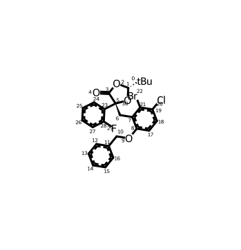 CC(C)(C)[C@H]1OC(=O)[C@@](Cc2c(OCc3ccccc3)ccc(Cl)c2Br)(c2ccccc2F)O1